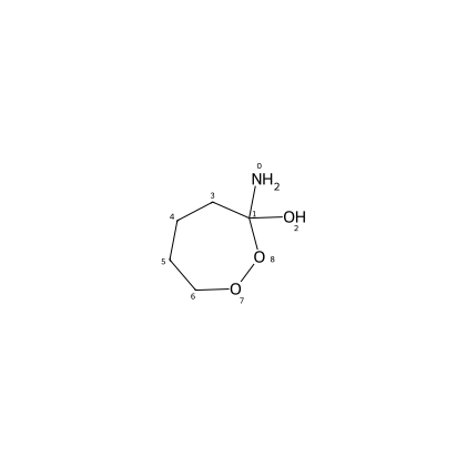 NC1(O)CCCCOO1